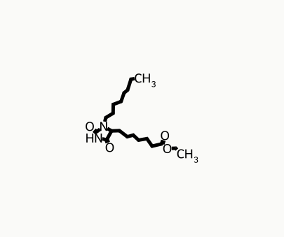 CCCCCCCCN1C(=O)NC(=O)C1CCCCCCC(=O)OCC